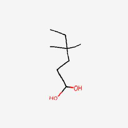 CCC(C)(C)CCC(O)O